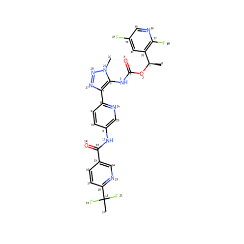 C[C@@H](OC(=O)Nc1c(-c2ccc(NC(=O)c3ccc(C(C)(F)F)nc3)cn2)nnn1C)c1cc(F)cnc1F